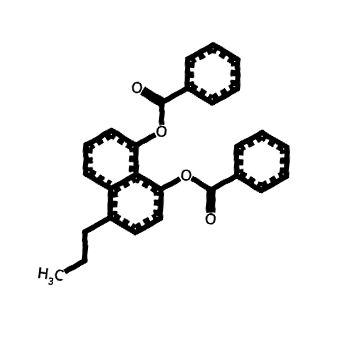 CCCc1ccc(OC(=O)c2ccccc2)c2c(OC(=O)c3ccccc3)cccc12